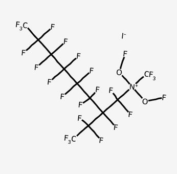 FO[N+](OF)(C(F)(F)F)C(F)(F)C(F)(C(F)(F)C(F)(F)F)C(F)(F)C(F)(F)C(F)(F)C(F)(F)C(F)(F)C(F)(F)F.[I-]